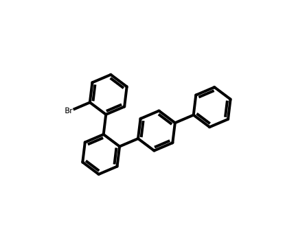 Brc1ccccc1-c1ccccc1-c1ccc(-c2ccccc2)cc1